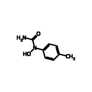 Cc1ccc(N(O)C(N)=O)cc1